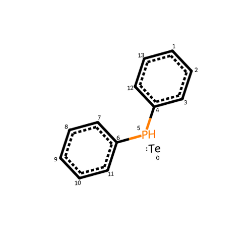 [Te].c1ccc(Pc2ccccc2)cc1